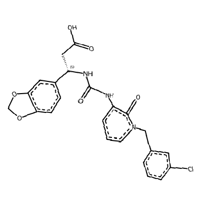 O=C(O)C[C@H](NC(=O)Nc1cccn(Cc2cccc(Cl)c2)c1=O)c1ccc2c(c1)OCO2